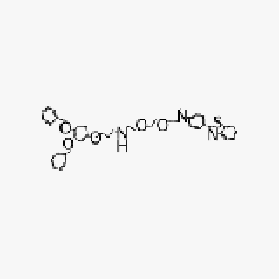 CN(CCOCCOCCNCCCOc1ccc(OCc2ccccc2)c(OCc2ccccc2)c1)c1ccc(-c2nc3ccccc3s2)cc1